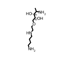 CC(N)[C@@H](O)[C@H](O)COCCNCCCCN